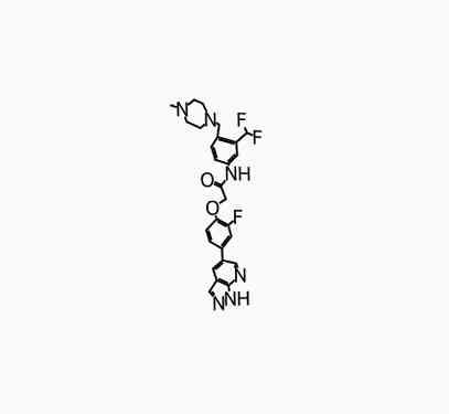 CN1CCN(Cc2ccc(NC(=O)COc3ccc(-c4cnc5[nH]ncc5c4)cc3F)cc2C(F)F)CC1